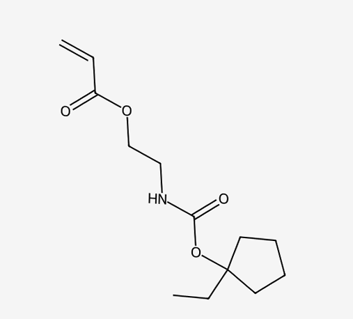 C=CC(=O)OCCNC(=O)OC1(CC)CCCC1